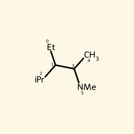 CCC(C(C)C)C(C)NC